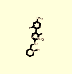 COc1ccc(-c2cnc(NCC3CCCCN3C(C)C)nc2C)c(F)c1.Cl